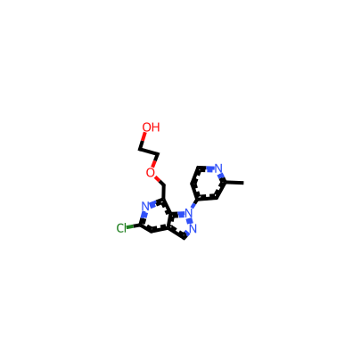 Cc1cc(-n2ncc3cc(Cl)nc(COCCO)c32)ccn1